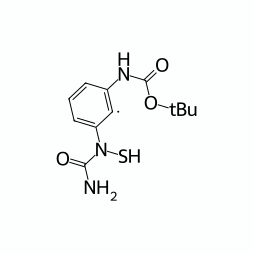 CC(C)(C)OC(=O)Nc1[c]c(N(S)C(N)=O)ccc1